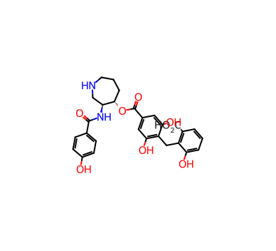 O=C(N[C@H]1CNCCC[C@@H]1OC(=O)c1cc(O)c(Cc2c(O)cccc2C(=O)O)c(O)c1)c1ccc(O)cc1